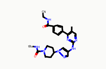 Cc1cnc(Nc2cnn(C3CCN(C(=O)NC(C)(C)C)CC3)c2)nc1-c1ccc(C(=O)NCC#N)cc1